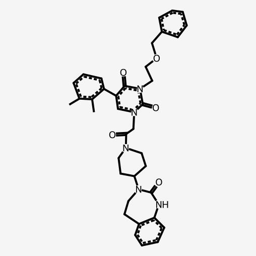 Cc1cccc(-c2cn(CC(=O)N3CCC(N4CCc5ccccc5NC4=O)CC3)c(=O)n(CCOCc3ccccc3)c2=O)c1C